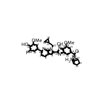 COc1cc(-c2ccc3cc(-c4nc5cc(C(=O)N6CC7CCC6[C@@H]7N)cc(OC)c5n4C)n(CC4CC4)c3n2)cc(F)c1O